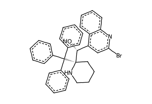 O[C@H](c1cc(Br)nc2ccccc12)[C@@]1(C(c2ccccc2)(c2ccccc2)c2ccccc2)CCCCN1